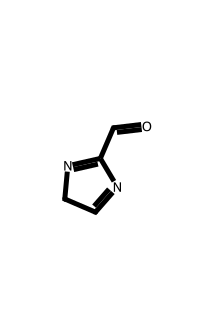 O=CC1=NCC=N1